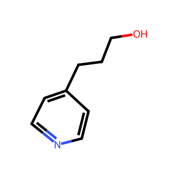 OCCCc1ccncc1